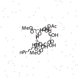 CCC/C=C/C=C/C(=O)O[C@H]1C(CC(=O)OC)C[C@@]2(O)C[C@H]([C@@H](C)O)OC(=O)C[C@H](O)C[C@@H]3C[C@H](OC(C)=O)C(C)(C)[C@](O)(C[C@@H]4C/C(=C/C(=O)OC)C[C@H](/C=C/C(C)(C)[C@]1(O)O2)O4)O3